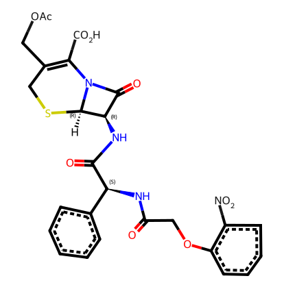 CC(=O)OCC1=C(C(=O)O)N2C(=O)[C@@H](NC(=O)[C@@H](NC(=O)COc3ccccc3[N+](=O)[O-])c3ccccc3)[C@H]2SC1